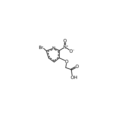 O=C(O)COc1ccc(Br)nc1[N+](=O)[O-]